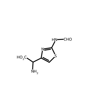 NC(C(=O)O)c1csc(NC=O)n1